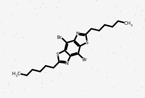 CCCCCCc1nc2c(Br)c3sc(CCCCCC)nc3c(Br)c2s1